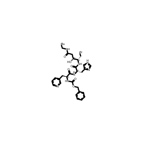 CCC(C)CNC(=O)C[C@H](O)[C@H](CC(C)C)NC(=O)[C@H](Cc1c[nH]cn1)NC(=O)[C@H](Cc1cccnc1)NC(=O)OCc1ccccc1